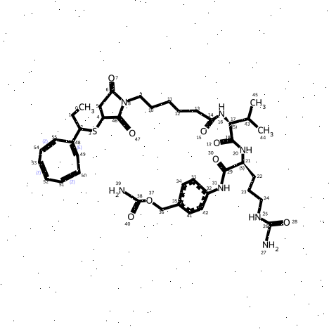 CCC(SC1CC(=O)N(CCCCCC(=O)N[C@H](C(=O)N[C@@H](CCCNC(N)=O)C(=O)Nc2ccc(COC(N)=O)cc2)C(C)C)C1=O)C1=C/C=C\C=C/C=C\1